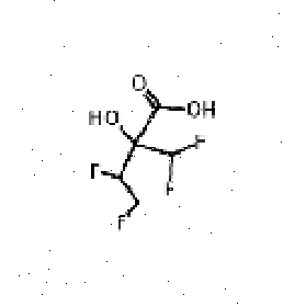 O=C(O)C(O)(C(F)F)C(F)CF